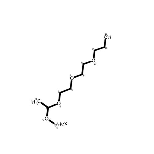 CCCCCCOC(C)OCCOCCOCCO